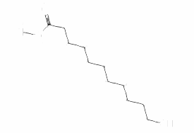 CCCCCCCCCCCC(=O)OCl